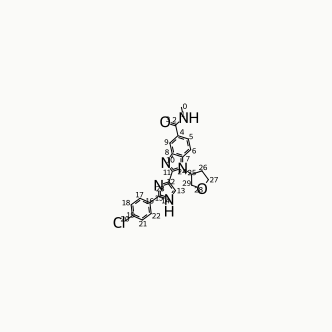 CNC(=O)c1ccc2c(c1)nc(-c1c[nH]c(-c3ccc(Cl)cc3)n1)n2C1CCOC1